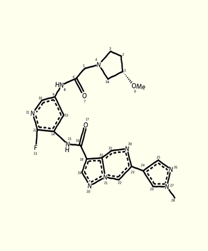 CO[C@H]1CCN(CC(=O)Nc2cnc(F)c(NC(=O)c3cnn4cc(-c5cnn(C)c5)ncc34)c2)C1